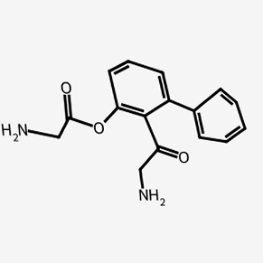 NCC(=O)Oc1cccc(-c2ccccc2)c1C(=O)CN